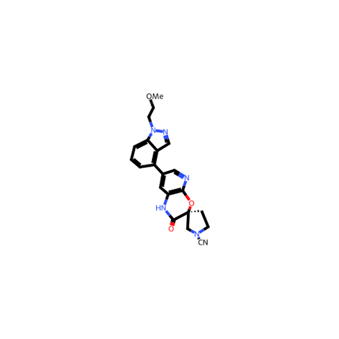 COCCn1ncc2c(-c3cnc4c(c3)NC(=O)[C@@]3(CCN(C#N)C3)O4)cccc21